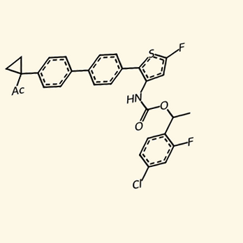 CC(=O)C1(c2ccc(-c3ccc(-c4sc(F)cc4NC(=O)OC(C)c4ccc(Cl)cc4F)cc3)cc2)CC1